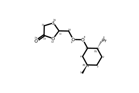 CC(C)[C@@H]1CC[C@@H](C)CC1OOCC1OC(=O)CS1